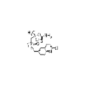 CC(C)(C[C@@H]1CCN(Cc2ccc3nc(Cl)ccc3c2)C1=O)OC(N)=O